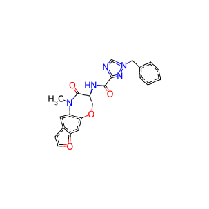 CN1C(=O)[C@@H](NC(=O)c2ncn(Cc3ccccc3)n2)COc2cc3occc3cc21